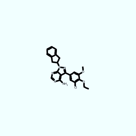 CCOc1c(Cl)cc(-c2nn(C3Cc4ccccc4C3)c3ncnc(N)c23)cc1OC